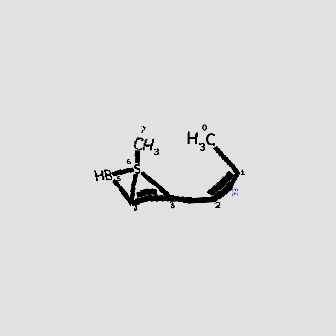 C/C=C\C1=C2BS21C